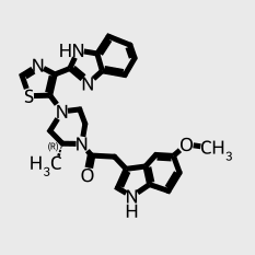 COc1ccc2[nH]cc(CC(=O)N3CCN(c4scnc4-c4nc5ccccc5[nH]4)C[C@H]3C)c2c1